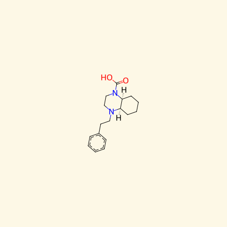 O=C(O)N1CCN(CCc2ccccc2)[C@@H]2CCCC[C@@H]21